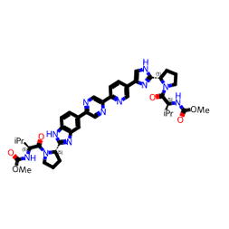 COC(=O)N[C@H](C(=O)N1CCC[C@H]1c1nc(-c2ccc(-c3cnc(-c4ccc5[nH]c([C@@H]6CCCN6C(=O)[C@@H](NC(=O)OC)C(C)C)nc5c4)cn3)nc2)c[nH]1)C(C)C